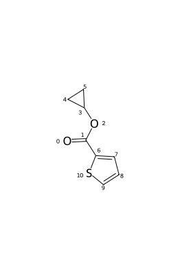 O=C(OC1CC1)c1cccs1